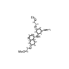 CC#Cc1cc(Nc2ncnc3cc(OCCOC)ccc23)cc(OCCOCC)c1